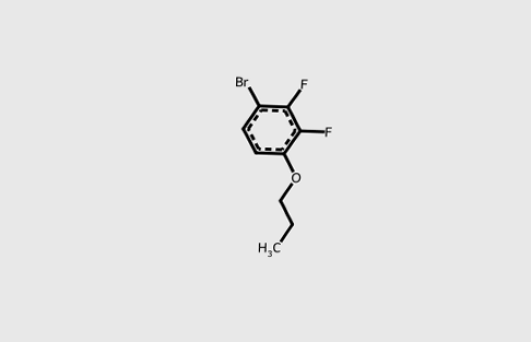 CCCOc1ccc(Br)c(F)c1F